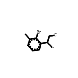 [CH2]C(CF)c1cccc(C)c1Br